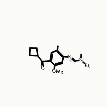 CCN(C)/C=N/c1cc(OC)c(C(=O)C2CCC2)cc1C